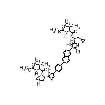 COC(=O)N[C@H](C(=O)N[C@@H](CC1CC1)c1nc(Cl)c(-c2ccc3cc(-c4ccc(-c5cnc([C@@H]6C[C@H]7C[C@H]7N6C(=O)[C@@H](NC(=O)OC)C(C)C)[nH]5)cc4)ccc3c2)[nH]1)C(C)C